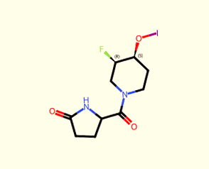 O=C1CCC(C(=O)N2CC[C@H](OI)[C@H](F)C2)N1